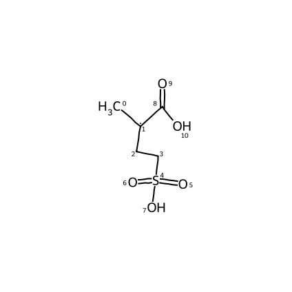 C[C](CCS(=O)(=O)O)C(=O)O